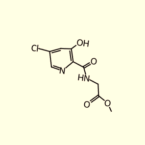 COC(=O)CNC(=O)c1ncc(Cl)cc1O